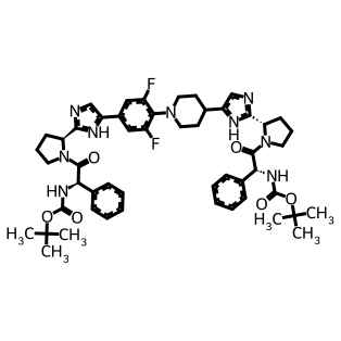 CC(C)(C)OC(=O)N[C@@H](C(=O)N1CCC[C@H]1c1ncc(-c2cc(F)c(N3CCC(c4cnc([C@@H]5CCCN5C(=O)[C@H](NC(=O)OC(C)(C)C)c5ccccc5)[nH]4)CC3)c(F)c2)[nH]1)c1ccccc1